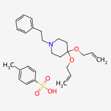 C=CCOC1(OCC=C)CCN(CCc2ccccc2)CC1.Cc1ccc(S(=O)(=O)O)cc1